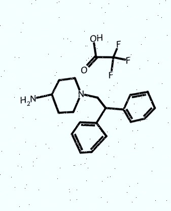 NC1CCN(CC(c2ccccc2)c2ccccc2)CC1.O=C(O)C(F)(F)F